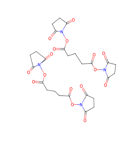 O=C(CCCC(=O)ON1C(=O)CCC1=O)ON1C(=O)CCC1=O.O=C(CCCC(=O)ON1C(=O)CCC1=O)ON1C(=O)CCC1=O